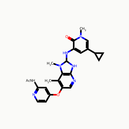 CC(=O)Nc1cc(Oc2cnc3c(c2C)N(C)C(Nc2cc(C4CC4)cn(C)c2=O)N3)ccn1